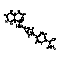 NC(=O)c1cnc(N2CC3C(C2)C3Nc2nccc3ccccc23)nc1